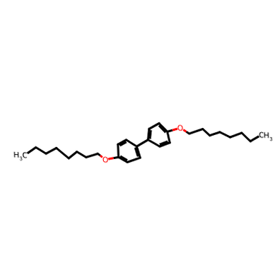 CCCCCCCCOc1ccc(-c2ccc(OCCCCCCCC)cc2)cc1